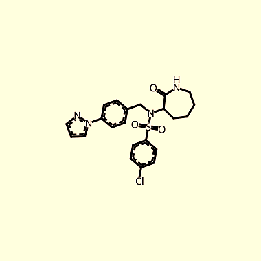 O=C1NCCCCC1N(Cc1ccc(-n2cccn2)cc1)S(=O)(=O)c1ccc(Cl)cc1